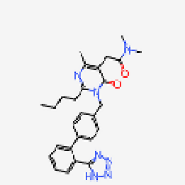 CCCCc1nc(C)c(CC(=O)N(C)C)c(=O)n1Cc1ccc(-c2ccccc2-c2nnn[nH]2)cc1